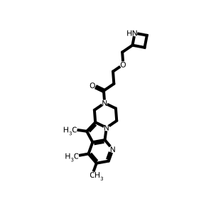 Cc1cnc2c(c1C)c(C)c1n2CCN(C(=O)CCOCC2CCN2)C1